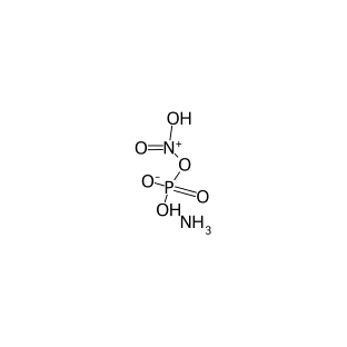 N.O=[N+](O)OP(=O)([O-])O